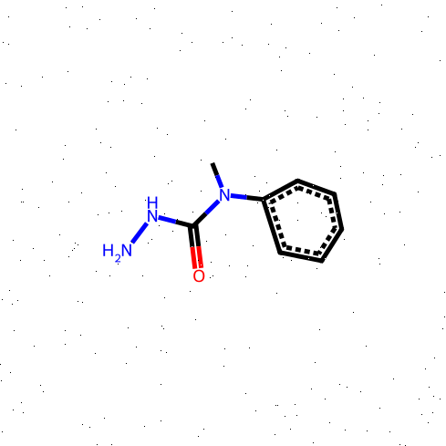 CN(C(=O)NN)c1ccccc1